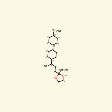 CCCCCCC1(CCC(C#N)C2CCC([C@H]3CC[C@H](CCCCC)CC3)CC2)OCCO1